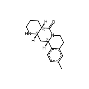 Cc1ccc2c(c1)CCN1C(=O)[C@H]3CCCN[C@H]3C[C@@H]21